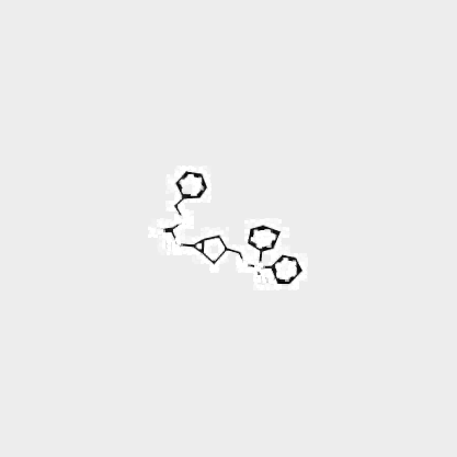 CC(C)(C)[Si](OCC1CC2C(C1)C2NC(=O)OCc1ccccc1)(c1ccccc1)c1ccccc1